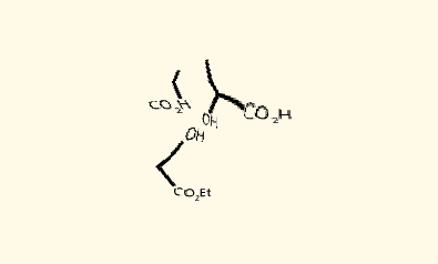 CC(=O)O.CC(O)C(=O)O.CCOC(=O)CO